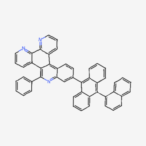 c1ccc(-c2nc3cc(-c4c5ccccc5c(-c5cccc6ccccc56)c5ccccc45)ccc3c3c4cccnc4c4ncccc4c23)cc1